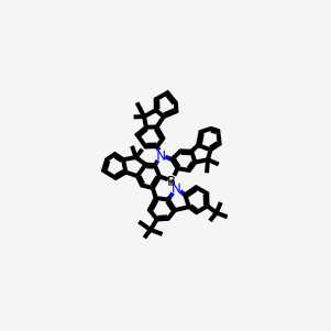 CC(C)(C)c1ccc2c(c1)c1cc(C(C)(C)C)cc3c1n2B1c2cc4c(cc2N(c2ccc5c(c2)-c2ccccc2C5(C)C)c2c1c-3cc1c2C(C)(C)c2ccccc2-1)-c1ccccc1C4(C)C